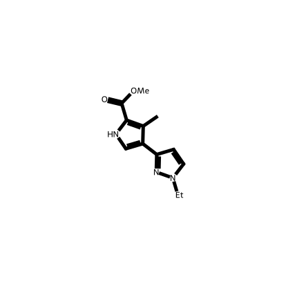 CCn1ccc(-c2c[nH]c(C(=O)OC)c2C)n1